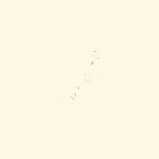 COc1cc(CCNC(=O)C(NS(C)(=O)=O)C(C)C)ccc1OCC#Cc1ccccc1